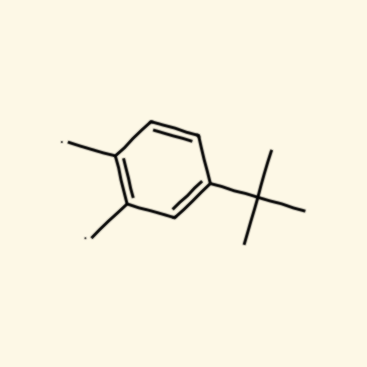 [CH2]c1ccc(C(C)(C)C)cc1[CH2]